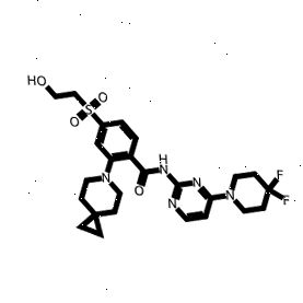 O=C(Nc1nccc(N2CCC(F)(F)CC2)n1)c1ccc(S(=O)(=O)CCO)cc1N1CCC2(CC1)CC2